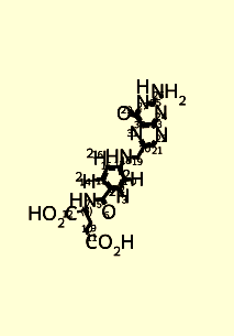 [2H]c1c([2H])c(C(=O)N[C@@H](CCC(=O)O)C(=O)O)c([2H])c([2H])c1NCc1cnc2nc(N)[nH]c(=O)c2n1